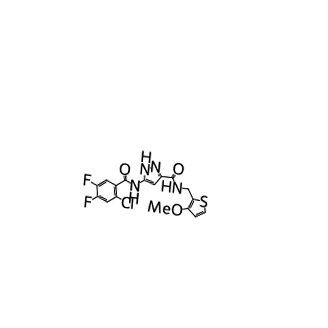 COc1ccsc1CNC(=O)c1cc(NC(=O)c2cc(F)c(F)cc2Cl)[nH]n1